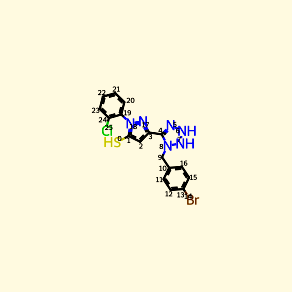 Sc1cc(C2=NNNN2Cc2ccc(Br)cc2)nn1-c1ccccc1Cl